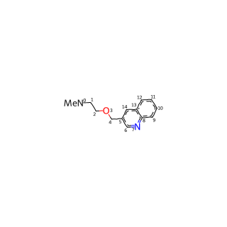 CNCCOCc1cnc2ccccc2c1